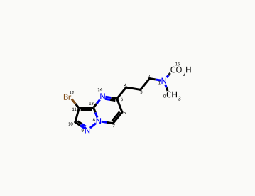 CN(CCCc1ccn2ncc(Br)c2n1)C(=O)O